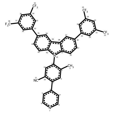 Cc1cc(-c2ccncc2)c(C#N)cc1-n1c2ccc(-c3cc(C(F)(F)F)cc(C(F)(F)F)c3)cc2c2cc(-c3cc(C(F)(F)F)cc(C(F)(F)F)c3)ccc21